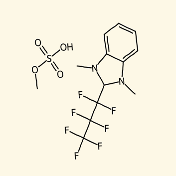 CN1c2ccccc2N(C)C1C(F)(F)C(F)(F)C(F)(F)F.COS(=O)(=O)O